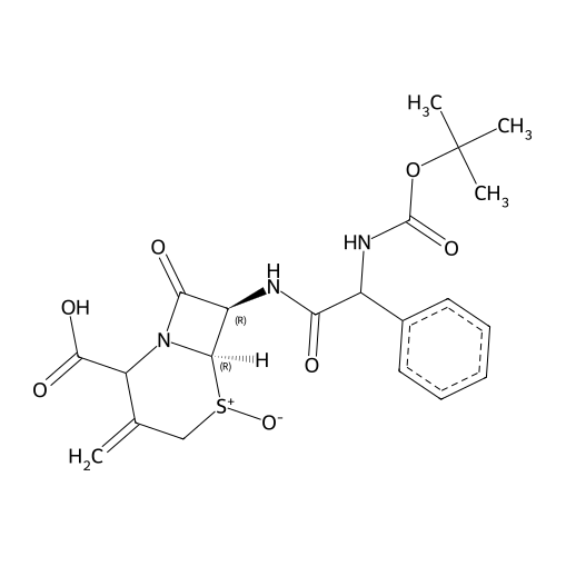 C=C1C[S+]([O-])[C@@H]2[C@H](NC(=O)C(NC(=O)OC(C)(C)C)c3ccccc3)C(=O)N2C1C(=O)O